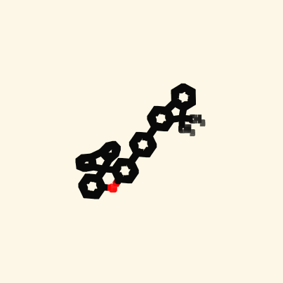 CC1(C)c2ccccc2-c2ccc(-c3ccc(-c4ccc5c(c4)C4(c6ccccc6O5)c5ccccc5-c5ccccc54)cc3)cc21